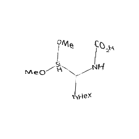 CCCCCCC(NC(=O)O)[SiH](OC)OC